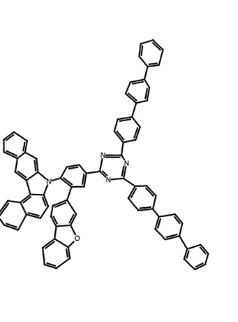 c1ccc(-c2ccc(-c3ccc(-c4nc(-c5ccc(-c6ccc(-c7ccccc7)cc6)cc5)nc(-c5ccc(-n6c7cc8ccccc8cc7c7c8ccccc8ccc76)c(-c6ccc7c(c6)oc6ccccc67)c5)n4)cc3)cc2)cc1